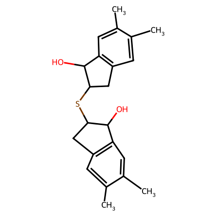 Cc1cc2c(cc1C)C(O)C(SC1Cc3cc(C)c(C)cc3C1O)C2